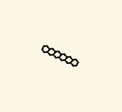 [c]1ccc2cc3cc4cc5cc6ccccc6cc5cc4cc3cc2c1